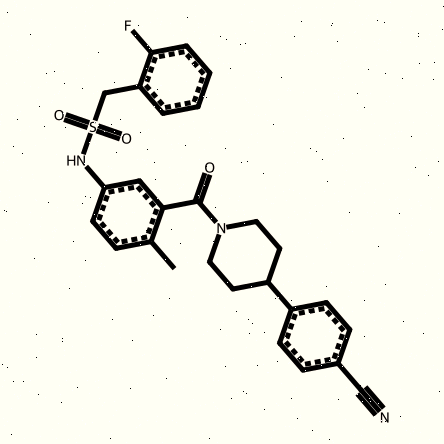 Cc1ccc(NS(=O)(=O)Cc2ccccc2F)cc1C(=O)N1CCC(c2ccc(C#N)cc2)CC1